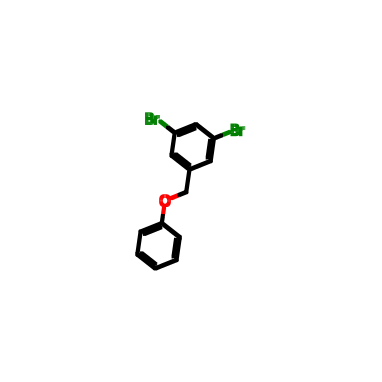 Brc1cc(Br)cc(COc2ccccc2)c1